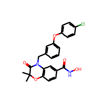 CC1(C)Oc2ccc(C(=O)NO)cc2N(Cc2cccc(Oc3ccc(Cl)cc3)c2)C1=O